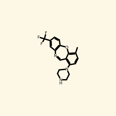 Cc1ccc(N2CCNCC2)c2c1Oc1ccc(C(F)(F)F)cc1N=C2